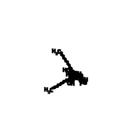 CCCCCCCCCCCCC(CC(=O)C(O)[C@H]1O[C@@H](n2cc(F)c(=O)[nH]c2=O)C[C@@]1(O)C(=O)CC(CCCCCCCCCCCC)C(=O)O)C(=O)O